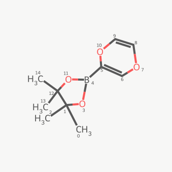 CC1(C)OB(C2=COC=CO2)OC1(C)C